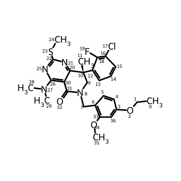 CCOc1ccc(CN2C[C@@](C)(c3cccc(Cl)c3F)c3nc(SC)nc(N(C)C)c3C2=O)c(OC)c1